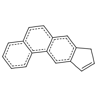 C1=Cc2cc3c(ccc4ccccc43)cc2C1